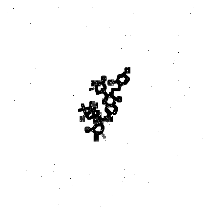 C[C@@H]1[C@@H](N=C(Nc2ccc3c(=O)n(CCc4ccc(Cl)cc4Cl)c(N4CC(=O)N[C@@H](C)C4)nc3c2)N2CC(=O)N[C@@H](C)C2)C[C@@H]2C[C@H]1C2(C)C